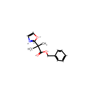 CC(C)(C(=O)OCc1ccccc1)c1ncco1